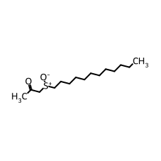 CCCCCCCCCCCC[S+]([O-])CC(C)=O